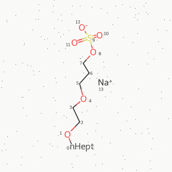 CCCCCCCOCCOCCCOS(=O)(=O)[O-].[Na+]